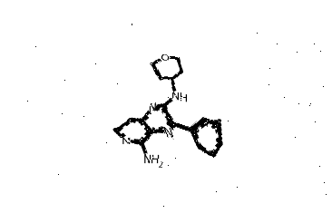 Nc1nccc2nc(NC3CCOCC3)c(-c3ccccc3)nc12